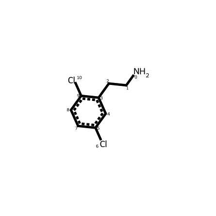 NCCc1cc(Cl)ccc1Cl